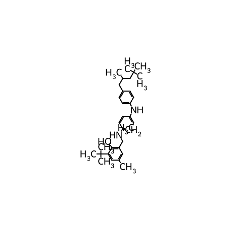 C=C(/C=C\C(=C/C)Nc1ccc(CC(C)CC(C)(C)C)cc1)NCc1cc(C)cc(C(C)(C)C)c1O